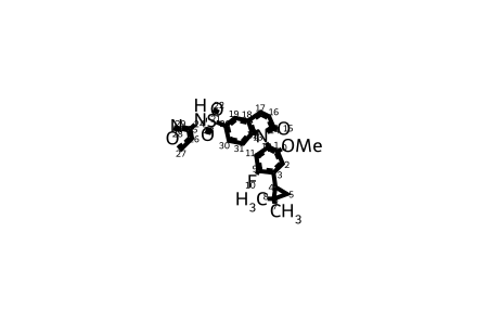 COc1cc(C2CC2(C)C)c(F)cc1-n1c(=O)ccc2cc(S(=O)(=O)Nc3ccon3)ccc21